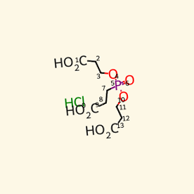 Cl.O=C(O)CCOP(=O)(CCC(=O)O)OCCC(=O)O